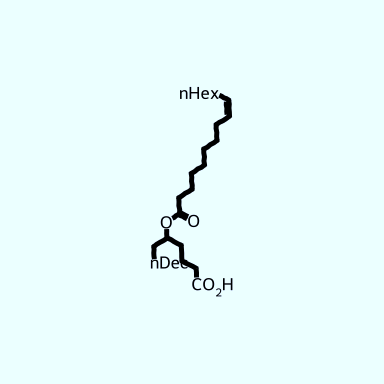 CCCCCC/C=C\CCCCCCCC(=O)OC(CCCCCCCCCCC)CCCC(=O)O